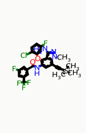 Cn1nc(N)c2c(Oc3cc(F)ccc3Cl)c(NC(=O)c3cc(F)cc(C(F)(F)F)c3)cc(C#C[Si](C)(C)C)c21